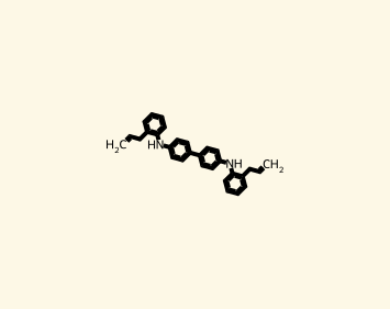 C=CCc1ccccc1Nc1ccc(-c2ccc(Nc3ccccc3CC=C)cc2)cc1